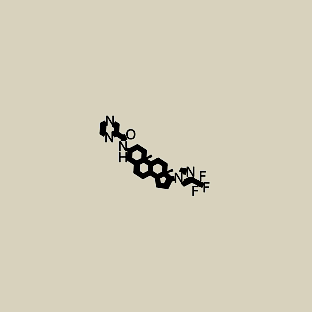 C[C@]12CC[C@H](NC(=O)c3cnccn3)CC1=CCC1C2CC[C@]2(C)C(n3cnc(C(F)(F)F)c3)=CCC12